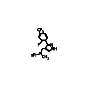 CCCN(C)Cc1c[nH]nc1-c1ccc(C(F)(F)F)cc1F